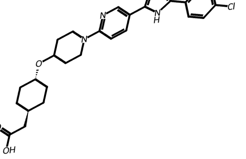 O=C(O)C[C@H]1CC[C@H](OC2CCN(c3ccc(-c4nnc(-c5ccc(Cl)cc5)[nH]4)cn3)CC2)CC1